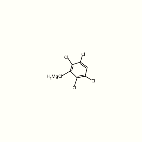 Clc1cc(Cl)c(Cl)c(Cl)c1Cl.[MgH2]